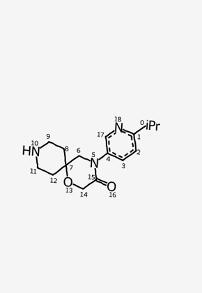 CC(C)c1ccc(N2CC3(CCNCC3)OCC2=O)cn1